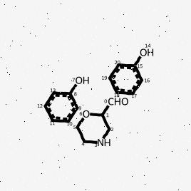 O=CC1CNCCO1.Oc1ccccc1.Oc1ccccc1